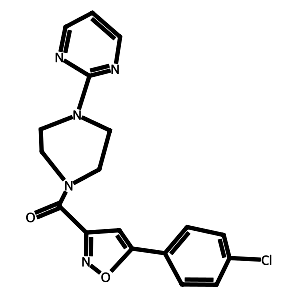 O=C(c1cc(-c2ccc(Cl)cc2)on1)N1CCN(c2ncccn2)CC1